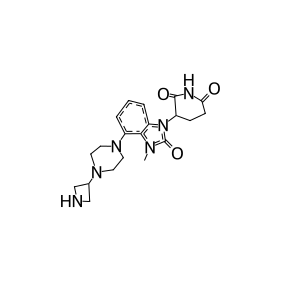 Cn1c(=O)n(C2CCC(=O)NC2=O)c2cccc(N3CCN(C4CNC4)CC3)c21